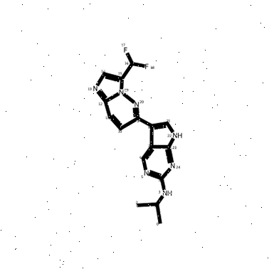 CC(C)Nc1ncc2c(-c3ccc4ncc(C(F)F)n4n3)c[nH]c2n1